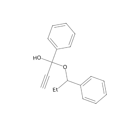 C#CC(O)(OC(CC)c1ccccc1)c1ccccc1